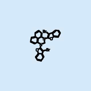 Brc1c(N2CN(c3oc4ccccc4c3Br)c3cccc4cccc2c34)oc2ccccc12